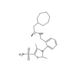 CC1=C(S(N)(=O)=O)SC(C)N1c1ccccc1CN[C@@H](C)CC1CCCCCC1